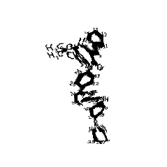 CC(C)(C)OC(=O)NC(Cc1ccccc1)C(=O)Nc1ccc(-c2ccnc(Nc3ccc(N4CCOCC4)cc3)n2)cc1